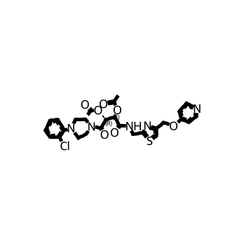 CC(=O)O[C@@H](C(=O)NCc1nc(COc2ccncc2)cs1)[C@@H](OC(C)=O)C(=O)N1CCN(c2ccccc2Cl)CC1